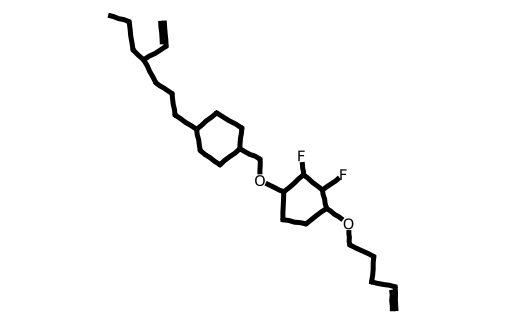 C=CCCCOC1CCC(OCC2CCC(CCCC(C=C)CCC)CC2)C(F)C1F